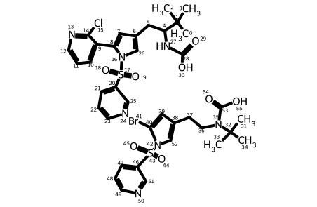 CC(C)(C)C(Cc1cc(-c2cccnc2Cl)n(S(=O)(=O)c2cccnc2)c1)NC(=O)O.CC(C)(C)N(CCc1cc(Br)n(S(=O)(=O)c2cccnc2)c1)C(=O)O